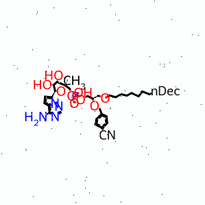 CCCCCCCCCCCCCCCCCCOC[C@H](COP(=O)(O)OC[C@@]1(C)O[C@@H](c2ccc3c(N)ncnn23)[C@H](O)[C@@H]1O)OCc1ccc(C#N)cc1